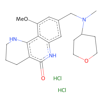 COc1cc(CN(C)C2CCOCC2)cc2[nH]c(=O)c3c(c12)NCCC3.Cl.Cl